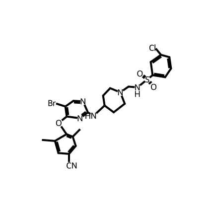 Cc1cc(C#N)cc(C)c1Oc1nc(NC2CCN(CNS(=O)(=O)c3cccc(Cl)c3)CC2)ncc1Br